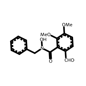 COc1ccc([C]=O)c(C(=O)N(O)Cc2ccccc2)c1OC